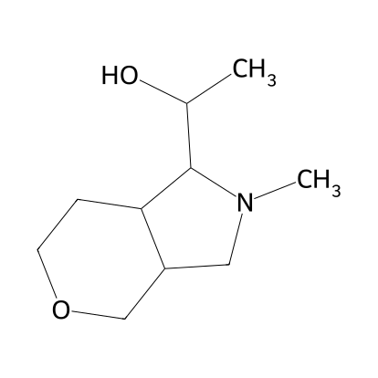 CC(O)C1C2CCOCC2CN1C